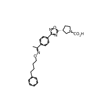 C/C(=N\OCCCCc1ccccc1)c1ccc(-c2noc([C@@H]3CCN(C(=O)O)C3)n2)cc1